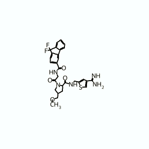 COCC1CC(C(=O)NCc2cc(C(=N)N)cs2)N(C(=O)CNC(=O)c2ccc3c(c2)-c2ccccc2C3(F)F)C1